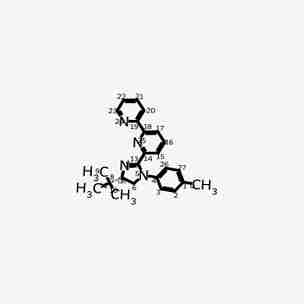 Cc1ccc(N2C[C@H](C(C)(C)C)N=C2c2cccc(-c3ccccn3)n2)cc1